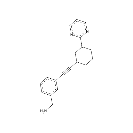 NCc1cccc(C#CC2CCCN(c3ncccn3)C2)c1